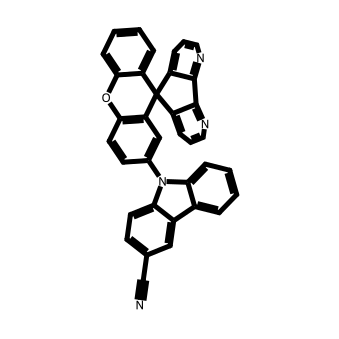 N#Cc1ccc2c(c1)c1ccccc1n2-c1ccc2c(c1)C1(c3ccccc3O2)c2cccnc2-c2ncccc21